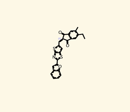 CCc1cc2c(cc1C)C(=O)/C(=C/c1cc3sc(-c4cc5ccccc5o4)nc3s1)C2=O